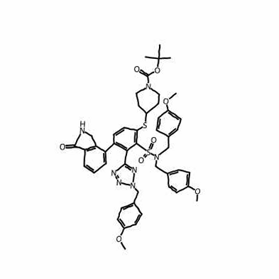 COc1ccc(CN(Cc2ccc(OC)cc2)S(=O)(=O)c2c(SC3CCN(C(=O)OC(C)(C)C)CC3)ccc(-c3cccc4c3CNC4=O)c2-c2nnn(Cc3ccc(OC)cc3)n2)cc1